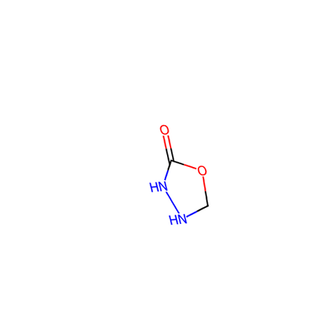 O=C1NNCO1